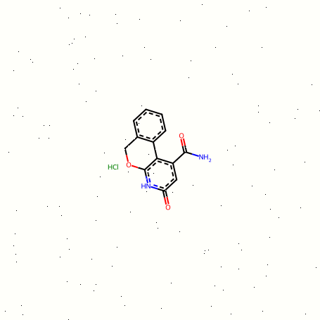 Cl.NC(=O)c1cc(=O)[nH]c2c1-c1ccccc1CO2